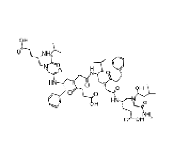 CC(C)CC(=O)N(CC(=O)N[C@@H](Cc1ccccc1)CN(CC(=O)N[C@@H](CC(C)C)CN(CC(=O)N[C@@H](CCC(=O)O)CN(CC(N)=O)C(O)CC(C)C)C(=O)CCc1ccccc1)C(=O)CCC(=O)O)C[C@@H](N)CCC(=O)O